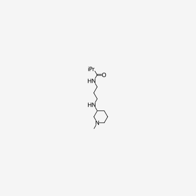 CC(C)C(=O)NCCCNC1CCCN(C)C1